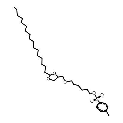 CCCCCCCCCCCCCCCCCC1OCC(COCCCCCCOS(=O)(=O)c2ccc(C)cc2)O1